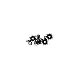 CC(=O)c1cccc(N2C(=O)N(Cc3ccccc3Oc3ccccc3)C(C)(C)C2=O)c1